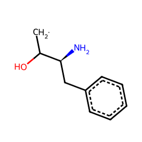 [CH2]C(O)[C@@H](N)Cc1ccccc1